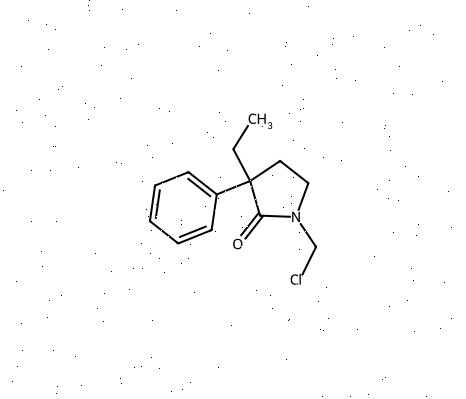 CCC1(c2ccccc2)CCN(CCl)C1=O